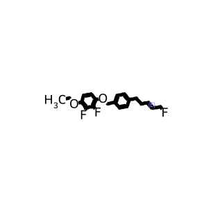 CCOc1ccc(OCc2ccc(CC/C=C/CF)cc2)c(F)c1F